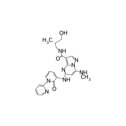 CNc1cc(Nc2cccn(-c3ccccn3)c2=O)nc2c(C(=O)NC[C@H](C)CO)cnn12